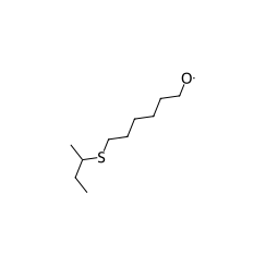 CCC(C)SCCCCCC[O]